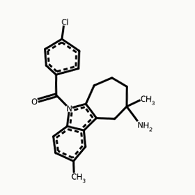 Cc1ccc2c(c1)c1c(n2C(=O)c2ccc(Cl)cc2)CCCC(C)(N)C1